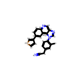 Cc1cc(CC#N)ccc1-n1cnc2cnc3ccc(-c4ccsc4)cc3c21